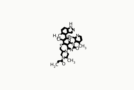 C=CC(=O)N1CC2CSc3c(Cl)c(-c4c(C)ccc5[nH]ncc45)nc4c3c(nc(=O)n4-c3c(C)ccnc3C(C)C)N2CC1C